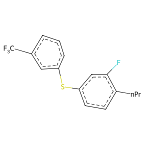 CCCc1ccc(Sc2cccc(C(F)(F)F)c2)cc1F